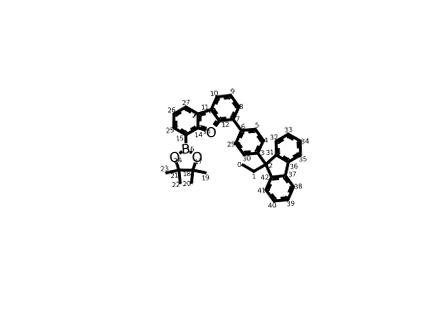 CCC1(c2ccc(-c3cccc4c3oc3c(B5OC(C)(C)C(C)(C)O5)cccc34)cc2)c2ccccc2-c2ccccc21